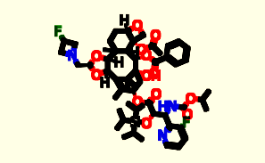 CC(=O)O[C@@]12CO[C@@H]1CC[C@@]1(C)[C@@H]3O[C@H](CN4CC(F)C4)O[C@@H]3C3=C(C)[C@@H](OC(=O)[C@H](O[Si](C(C)C)(C(C)C)C(C)C)[C@@H](NC(=O)OC(C)C)c4ncccc4F)C[C@@](O)([C@@H](OC(=O)c4ccccc4)[C@@H]12)C3(C)C